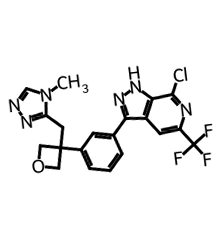 Cn1cnnc1CC1(c2cccc(-c3n[nH]c4c(Cl)nc(C(F)(F)F)cc34)c2)COC1